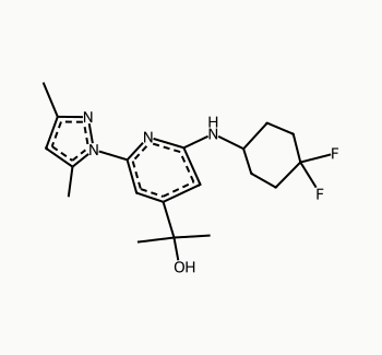 Cc1cc(C)n(-c2cc(C(C)(C)O)cc(NC3CCC(F)(F)CC3)n2)n1